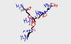 NCCCNC(=O)CCOCC(N)(COCCC(=O)NCCCN)COCCC(=O)NCCCNCO